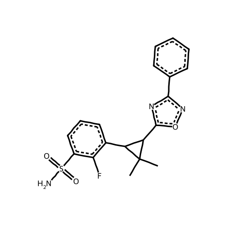 CC1(C)C(c2nc(-c3ccccc3)no2)C1c1cccc(S(N)(=O)=O)c1F